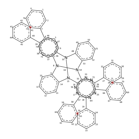 c1ccc(-c2ccc(N3c4ccccc4N(c4nc(-c5ccccc5)nc(-c5ccccc5)n4)C34N(c3ccc(-c5ccccc5)cc3)c3ccccc3N4c3nc(-c4ccccc4)nc(-c4ccccc4)n3)cc2)cc1